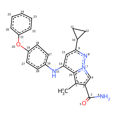 Cc1c(C(N)=O)cn2nc(C3CC3)cc(Nc3ccc(Oc4ccccc4)cc3)c12